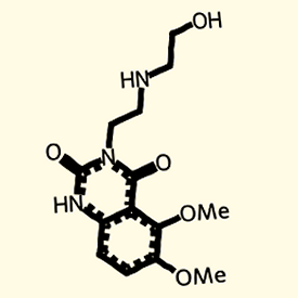 COc1ccc2[nH]c(=O)n(CCNCCO)c(=O)c2c1OC